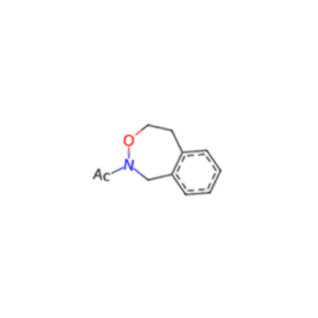 CC(=O)N1Cc2ccccc2CCO1